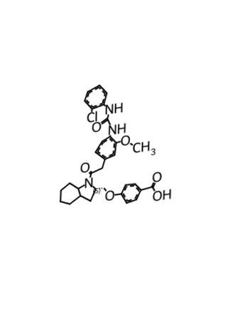 COc1cc(CC(=O)N2C3CCCCC3C[C@H]2COc2ccc(C(=O)O)cc2)ccc1NC(=O)Nc1ccccc1Cl